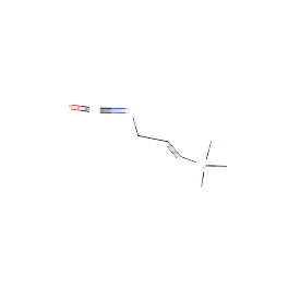 O=C=NCC=C[Si](Cl)(Cl)Cl